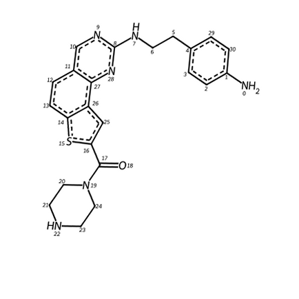 Nc1ccc(CCNc2ncc3ccc4sc(C(=O)N5CCNCC5)cc4c3n2)cc1